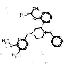 COc1nc(CN2CCN(Cc3ccccc3)[C@@H](c3ccccc3OC(C)C)C2)ccc1C